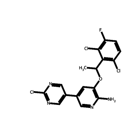 CC(Oc1cc(-c2cnc(Cl)nc2)cnc1N)c1c(Cl)ccc(F)c1Cl